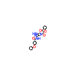 O=C(Nc1n[nH]c2c1CN(C(=O)C1Oc3ccccc3C1=O)C2)c1ccc(Oc2ccccc2)cc1